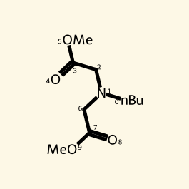 CCCCN(CC(=O)OC)CC(=O)OC